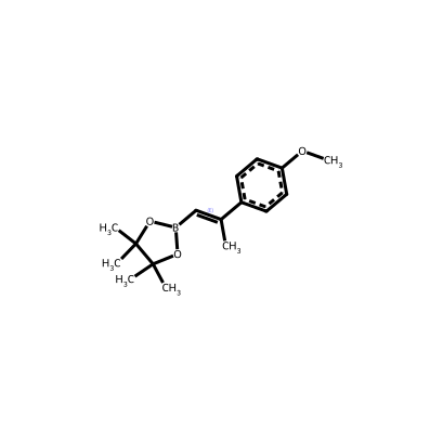 COc1ccc(/C(C)=C/B2OC(C)(C)C(C)(C)O2)cc1